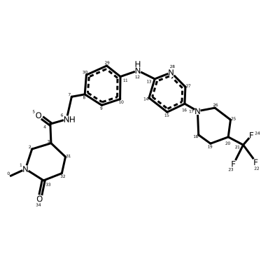 CN1CC(C(=O)NCc2ccc(Nc3ccc(N4CCC(C(F)(F)F)CC4)cn3)cc2)CCC1=O